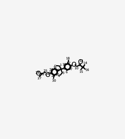 CCC(CC)(c1ccc(OCC(=O)C(C)(C)C)c(C)c1)c1ccc(OCC2CO2)c(C)c1